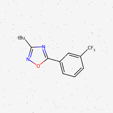 CC(C)(C)c1noc(-c2cccc(C(F)(F)F)c2)n1